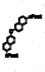 CCCCCc1ccc2cc(Oc3ccc4cc(CCCCC)ccc4c3)ccc2c1